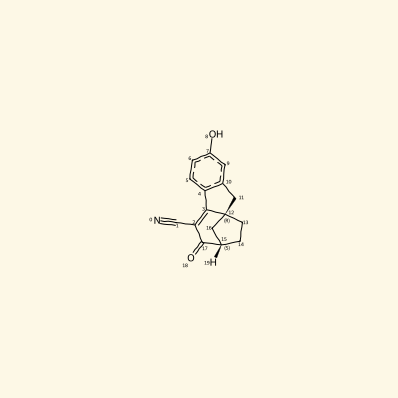 N#CC1=C2c3ccc(O)cc3C[C@]23CC[C@@H](C3)C1=O